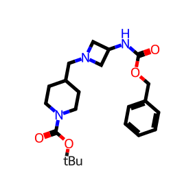 CC(C)(C)OC(=O)N1CCC(CN2CC(NC(=O)OCc3ccccc3)C2)CC1